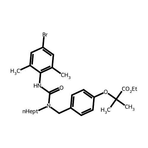 CCCCCCCN(Cc1ccc(OC(C)(C)C(=O)OCC)cc1)C(=O)Nc1c(C)cc(Br)cc1C